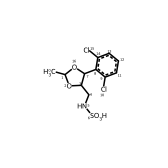 CC1OC(CNS(=O)(=O)O)C(c2c(Cl)cccc2Cl)O1